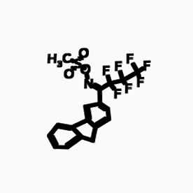 CS(=O)(=O)ON=C(c1ccc2c(c1)-c1ccccc1C2)C(F)(F)C(F)(F)C(F)(F)F